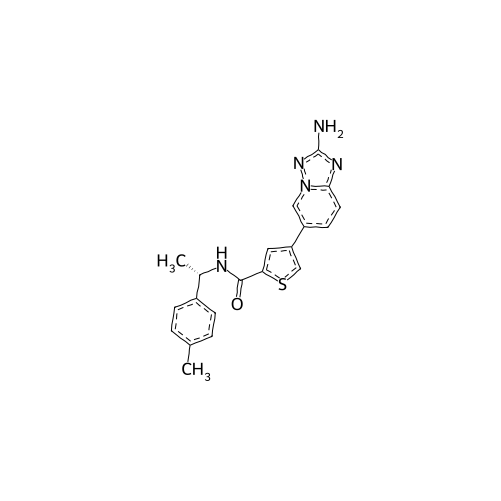 Cc1ccc([C@H](C)NC(=O)c2cc(-c3ccc4nc(N)nn4c3)cs2)cc1